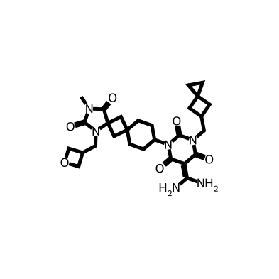 CN1C(=O)N(CC2COC2)C2(CC3(CCC(N4C(=O)C(=C(N)N)C(=O)N(CC5CC6(CC6)C5)C4=O)CC3)C2)C1=O